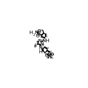 Cc1ccc(Nc2ncc(F)c(NC3=CCC(=CS(=O)(=O)N(C)C)C=C3)n2)cc1S(N)(=O)=O